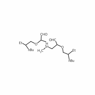 CCCCC(CC)COC(C=O)[CH2][SnH]([CH3])[CH2]C(C=O)OCC(CC)CCCC